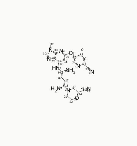 Cc1cc(C#N)ncc1Oc1cc(N/C(N)=C/C=C(\N)N2CCOC(C#N)C2)c2ncn(C)c2n1